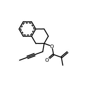 C=C(C)C(=O)OC1(CC#CC)CCc2ccccc2C1